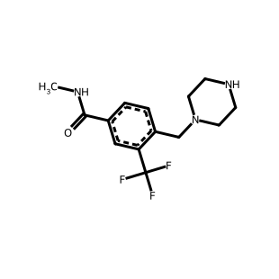 CNC(=O)c1ccc(CN2CCNCC2)c(C(F)(F)F)c1